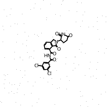 O=C1CCC(N2Cc3cccc(C(=O)NC(=O)c4cc(Cl)cc(Cl)c4)c3C2=O)C(=O)N1